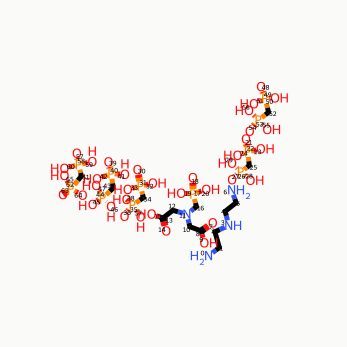 NCCNCCN.O=C(O)CN(CC(=O)O)CP(=O)(O)O.O=P(O)(O)CP(=O)(O)O.O=P(O)(O)CP(=O)(O)O.O=P(O)(O)CP(=O)(O)O.O=P(O)(O)CP(=O)(O)O.O=P(O)(O)CP(=O)(O)O